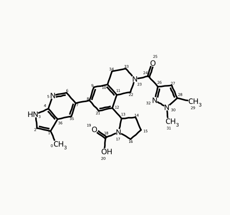 Cc1c[nH]c2ncc(-c3cc4c(c(C5CCCN5C(=O)O)c3)CN(C(=O)c3cc(C)n(C)n3)CC4)cc12